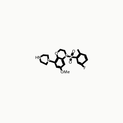 COc1cc(N2CCNCC2)c2c(c1)N(S(=O)(=O)c1cc(F)ccc1C)CCO2